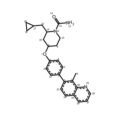 Cc1c(-c2ccc(OC3CCN(C(N)=O)C(CC4CC4)C3)cc2)ccc2cccnc12